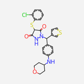 O=C1NN(C(c2ccc(NC3CCOCC3)cc2)c2ccsc2)C(=O)C1Sc1ccccc1Cl